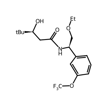 CCOC[C@H](NC(=O)C[C@H](O)C(C)(C)C)c1cccc(OC(F)(F)F)c1